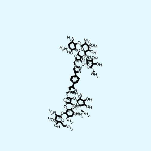 NCC1O[C@H](OC2C(N)C[C@@H](N)C(O)[C@H]2O[C@@H]2O[C@H](Cn3cc(-c4ccc(-c5cn(C[C@H]6O[C@@H](O[C@H]7C(O[C@H]8OC(CN)C(O)[C@H](O)C8N)C(N)C[C@@H](N)C7O)C(O)C6O[C@H]6O[C@@H](CN)C(O)C(O)C6N)nn5)cc4)nn3)C(O[C@H]3O[C@@H](CN)C(O)C(O)C3N)C2O)C(N)[C@@H](O)C1O